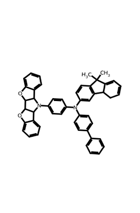 CC1(C)C2=CC=CCC2c2cc(N(c3ccc(-c4ccccc4)cc3)c3ccc(N4C5c6ccccc6OC5C5Oc6ccccc6C54)cc3)ccc21